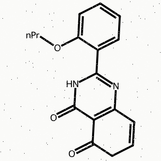 CCCOc1ccccc1-c1nc2c(c(=O)[nH]1)C(=O)CC=C2